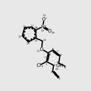 C=CC/C(Cl)=C(\C=C/C(C)O)OCc1ccccc1[N+](=O)[O-]